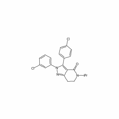 CC(C)N1CCc2nn(-c3cccc(Cl)c3)c(-c3ccc(Cl)cc3)c2C1=O